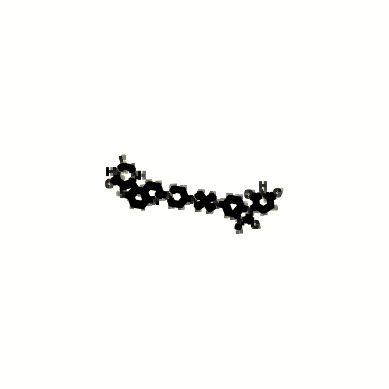 C[C@@H]1CNc2c(sc3ccc4nc(N5CCC(N6CC7(CN(c8ccc9c(c8)n(C)c(=O)n9C8CCC(=O)NC8=O)C7)C6)CC5)ccc4c23)C(=O)N1